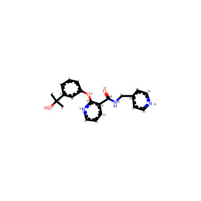 CC(C)(O)c1cccc(Oc2ncccc2C(=O)NCc2ccncc2)c1